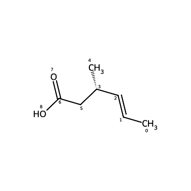 C/C=C/[C@@H](C)CC(=O)O